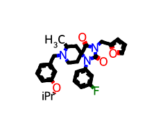 CC(C)Oc1cccc(CN2CCC3(CC2C)C(=O)N(Cc2ccco2)C(=O)N3c2cccc(F)c2)c1